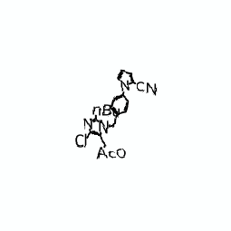 CCCCc1nc(Cl)c(COC(C)=O)n1Cc1ccc(-n2cccc2C#N)cc1